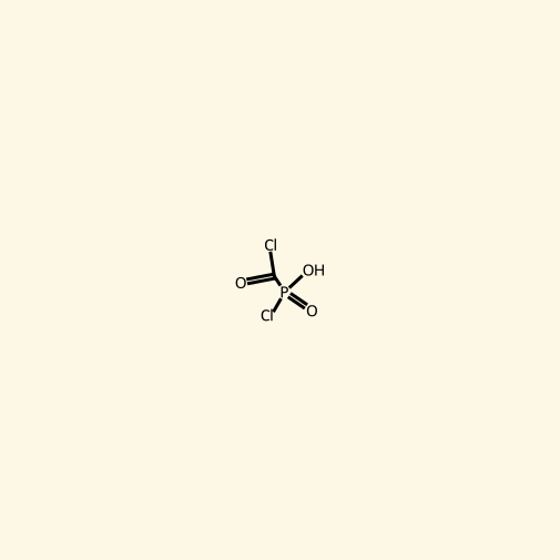 O=C(Cl)P(=O)(O)Cl